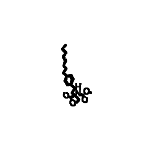 CCCCCCCCc1ccc(CCC2(NC(=O)OC)CCOC2=O)cc1